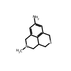 CN1Cc2cc(N)cc3c2C(CSC3)C1